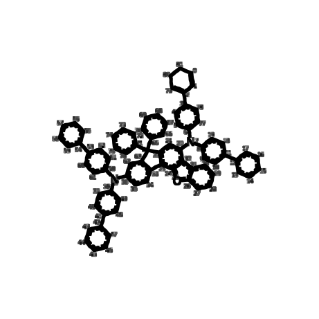 C1=CC(c2ccc(N(c3ccc(-c4ccccc4)cc3)c3cc4c(c5oc6ccccc6c35)-c3ccc(N(c5ccc(-c6ccccc6)cc5)c5ccc(-c6ccccc6)cc5)cc3C4(c3ccccc3)c3ccccc3)cc2)=CCC1